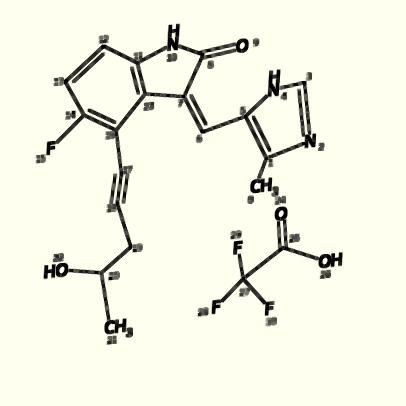 Cc1nc[nH]c1C=C1C(=O)Nc2ccc(F)c(C#CCC(C)O)c21.O=C(O)C(F)(F)F